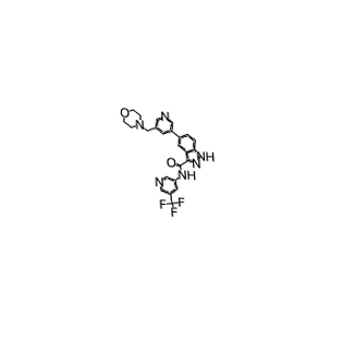 O=C(Nc1cncc(C(F)(F)F)c1)c1n[nH]c2ccc(-c3cncc(CN4CCOCC4)c3)cc12